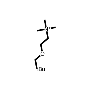 CCCCCOCC[N+](C)(C)C